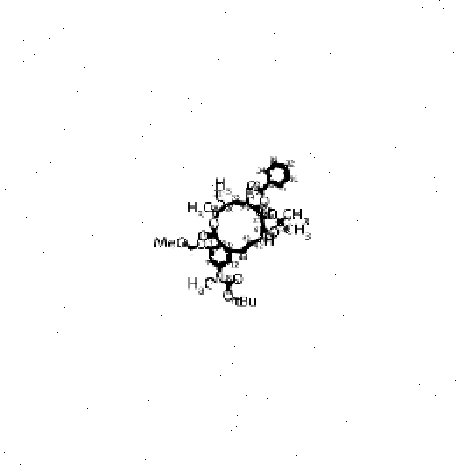 COCOc1cc(N(C)C(=O)OC(C)(C)C)cc2c1C(=O)O[C@@H](C)[C@H](C)/C=C(/F)C(OC(=O)c1ccccc1)[C@H]1OC(C)(C)O[C@H]1C/C=C/2